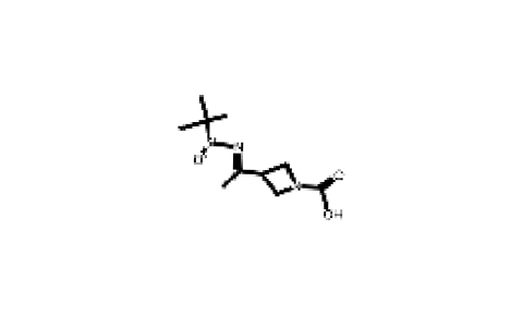 C/C(=N\[S+]([O-])C(C)(C)C)C1CN(C(=O)O)C1